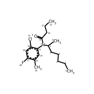 CCCCCC(C)N(C(=O)CCC)c1cc(C)c(F)cc1Cl